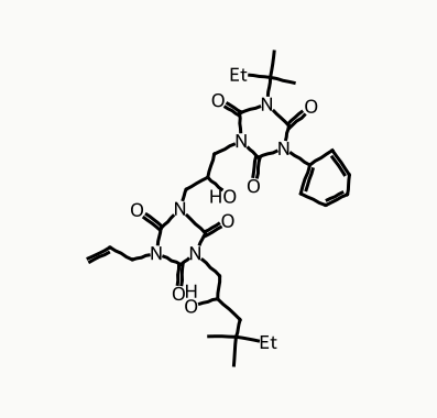 C=CCn1c(=O)n(CC(O)Cn2c(=O)n(-c3ccccc3)c(=O)n(C(C)(C)CC)c2=O)c(=O)n(CC(O)CC(C)(C)CC)c1=O